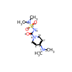 CN(C)c1cc[n+](C(=O)[N-]S(=O)(=O)N(C)C)cc1